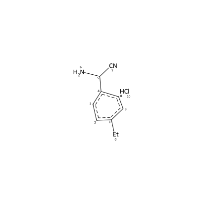 CCc1ccc(C(N)C#N)cc1.Cl